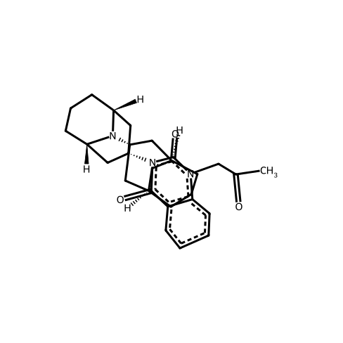 CC(=O)Cn1c(=O)n([C@H]2C[C@H]3CCC[C@@H](C2)N3[C@H]2C[C@@H]3CCC[C@@H](C3)C2)c(=O)c2ccccc21